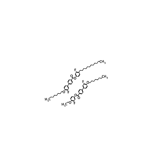 CCCCCCCCCCCCc1ccc(OC(=O)c2ccc(-c3ccc(OCCCCCCCC)c(F)c3)cc2)cc1F.CCCCCCCCOc1ccc(-c2ccc(C(=O)Oc3ccc(OCC)c(F)c3)cc2)cc1F